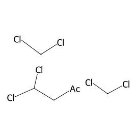 CC(=O)CC(Cl)Cl.ClCCl.ClCCl